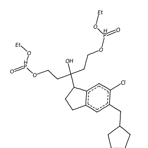 CCO[PH](=O)OCCC(O)(CCO[PH](=O)OCC)C1CCc2cc(CC3CCCC3)c(Cl)cc21